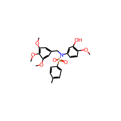 COc1ccc(N(Cc2cc(OC)c(OC)c(OC)c2)S(=O)(=O)c2ccc(C)cc2)cc1O